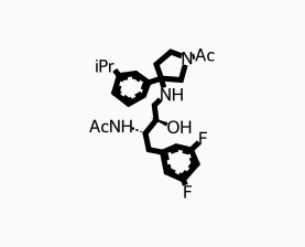 CC(=O)N[C@@H](Cc1cc(F)cc(F)c1)[C@H](O)CNC1(c2cccc(C(C)C)c2)CCN(C(C)=O)C1